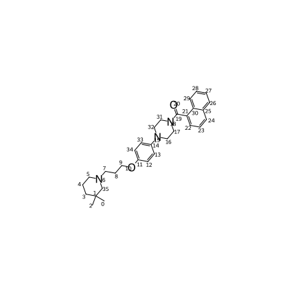 CC1(C)CCCN(CCCOc2ccc(N3CCN(C(=O)c4cccc5ccccc45)CC3)cc2)C1